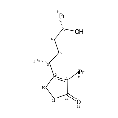 CC(C)C1=C([C@H](C)CC[C@@H](O)C(C)C)CCC1=O